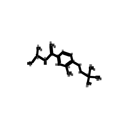 C=C(NP(CCC)C(F)(F)F)c1ccc(CCC(C)(C)CCC)c(C)n1